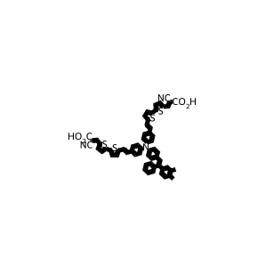 Cc1ccc(/C(=C/c2ccc(N(c3ccc(/C=C/c4ccc(-c5ccc(/C=C(\C#N)C(=O)O)s5)s4)cc3)c3ccc(/C=C/C4CC=C(c5ccc(/C=C(\C#N)C(=O)O)s5)S4)cc3)cc2)c2ccccc2)cc1C